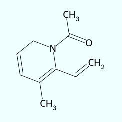 C=CC1=C(C)C=CCN1C(C)=O